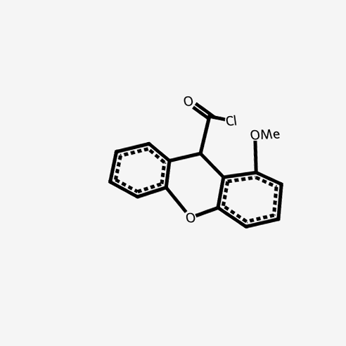 COc1cccc2c1C(C(=O)Cl)c1ccccc1O2